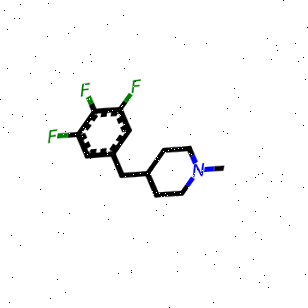 CN1CCC(Cc2cc(F)c(F)c(F)c2)CC1